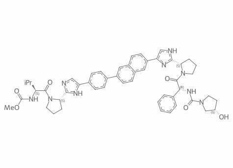 COC(=O)N[C@H](C(=O)N1CCC[C@H]1c1ncc(-c2ccc(-c3ccc4cc(-c5c[nH]c([C@@H]6CCCN6C(=O)[C@H](NC(=O)N6CC[C@H](O)C6)c6ccccc6)n5)ccc4c3)cc2)[nH]1)C(C)C